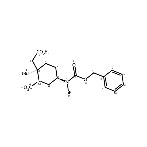 CCOC(=O)C[C@@]1(C(C)(C)C)CC[C@@H](N(C(=O)OCc2ccccc2)C(C)C)CN1C(=O)O